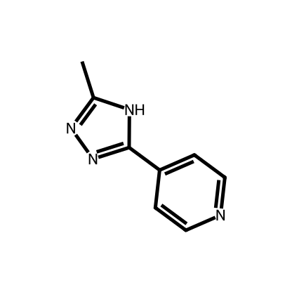 Cc1nnc(-c2ccncc2)[nH]1